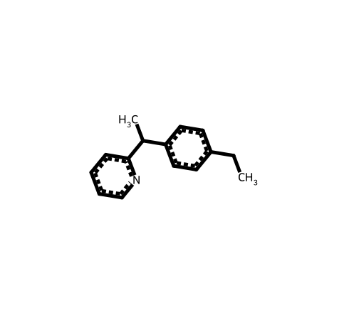 CCc1ccc(C(C)c2ccccn2)cc1